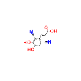 N#Cc1cc(O)c(O)c(C#N)c1/C=C/C(=O)O